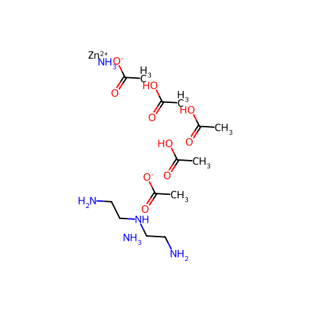 CC(=O)O.CC(=O)O.CC(=O)O.CC(=O)[O-].CC(=O)[O-].N.N.NCCNCCN.[Zn+2]